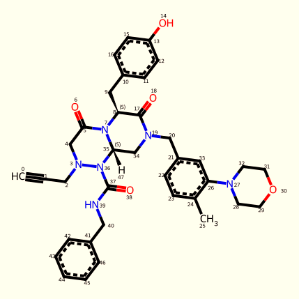 C#CCN1CC(=O)N2[C@@H](Cc3ccc(O)cc3)C(=O)N(Cc3ccc(C)c(N4CCOCC4)c3)C[C@@H]2N1C(=O)NCc1ccccc1